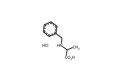 CC(NCc1ccccc1)C(=O)O.Cl